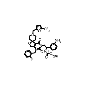 CC(C)(C)OC(=O)NC(Cn1c(=O)c2c(n(Cc3ccccc3F)c1=O)COC21CCN(Cc2ccc(C(F)(F)F)o2)CC1)c1cccc(N)c1